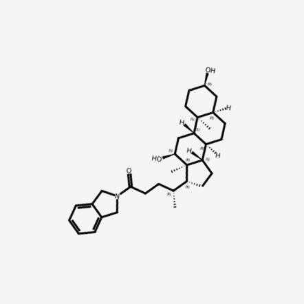 C[C@H](CCC(=O)N1Cc2ccccc2C1)[C@H]1CC[C@H]2[C@@H]3CC[C@@H]4C[C@H](O)CC[C@]4(C)[C@H]3C[C@H](O)[C@]12C